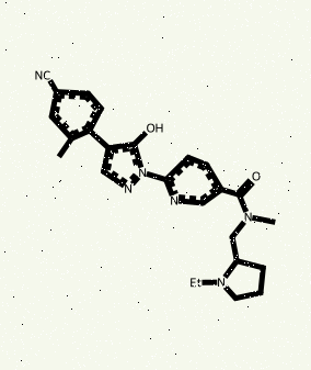 CCN1CCCC1CN(C)C(=O)c1ccc(-n2ncc(-c3ccc(C#N)cc3C)c2O)nc1